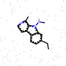 CCc1ccc2c3ccnc(C)c3n(NC)c2c1